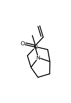 C=CC(=O)N1C2CCC1CN(C)C2